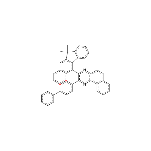 CC1(C)c2ccccc2-c2c1cc1ccccc1c2-c1nc2ccc3ccccc3c2nc1-c1ccc(-c2ccccc2)cc1